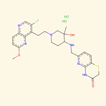 COc1ccc2ncc(F)c(CCN3CCC(NCc4ccc5c(n4)NC(=O)CS5)C(C)(O)C3)c2n1.Cl.Cl